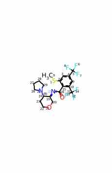 CSc1cc(C(F)(F)F)cc(C(F)(F)F)c1C(=O)/N=C1\COCC[C@H]1N1CCCC1